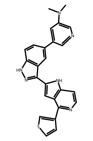 CN(C)c1cncc(-c2ccc3[nH]nc(-c4cc5c(-c6ccsc6)nccc5[nH]4)c3c2)c1